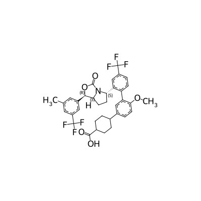 COc1ccc(C2CCC(C(=O)O)CC2)cc1-c1ccc(C(F)(F)F)cc1[C@@H]1CC[C@H]2[C@@H](c3cc(C)cc(C(F)(F)F)c3)OC(=O)N12